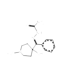 CN1CCC(O)(C(=NNC(N)=O)c2ccccc2)CC1